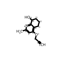 C#CCOc1cc(C)nc2c1CCCC2O